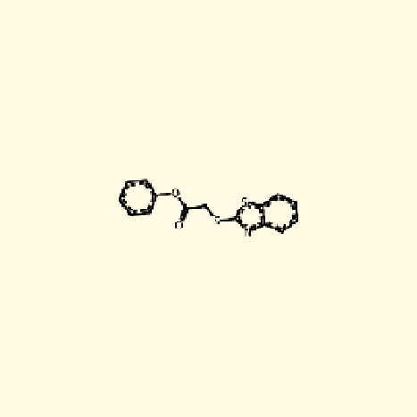 O=C(CSc1nc2ccccc2s1)Oc1ccccc1